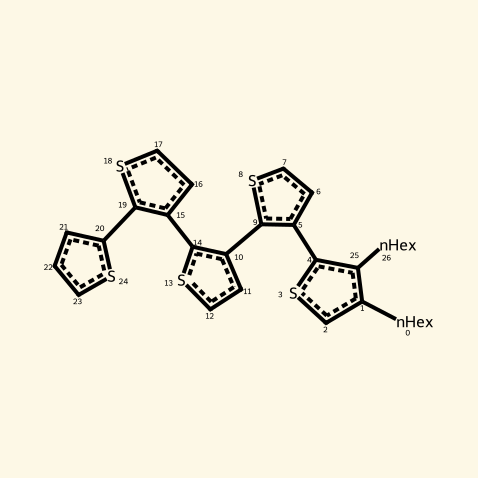 CCCCCCc1csc(-c2ccsc2-c2ccsc2-c2ccsc2-c2cccs2)c1CCCCCC